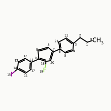 CCCc1ccc(-c2ccc(-c3ccc(I)cc3)c(F)c2)cc1